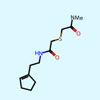 CNC(=O)CSCC(=O)NCCC1=CCCC1